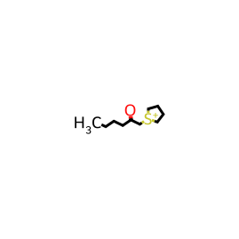 CCCCC(=O)C[S+]1CCCC1